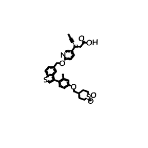 CC#C[C@H](CC(=O)O)c1ccc(OCc2ccc3scc(-c4ccc(OCC5CCS(=O)(=O)CC5)cc4C)c3c2)nc1